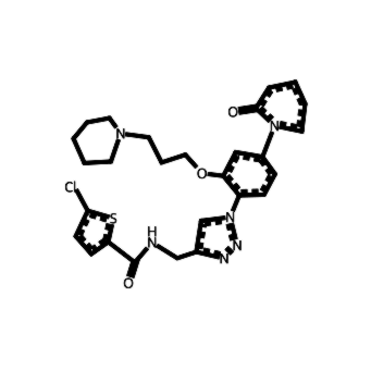 O=C(NCc1cn(-c2ccc(-n3ccccc3=O)cc2OCCCN2CCCCC2)nn1)c1ccc(Cl)s1